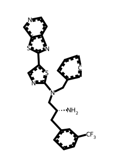 N[C@H](Cc1cccc(C(F)(F)F)c1)CN(Cc1ccccc1)c1ncc(-c2nc3ccncc3s2)s1